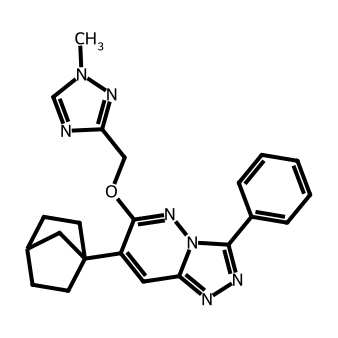 Cn1cnc(COc2nn3c(-c4ccccc4)nnc3cc2C23CCC(CC2)C3)n1